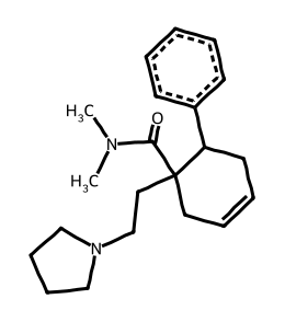 CN(C)C(=O)C1(CCN2CCCC2)CC=CCC1c1ccccc1